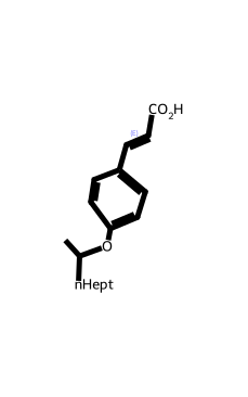 CCCCCCCC(C)Oc1ccc(/C=C/C(=O)O)cc1